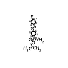 CC(C)COC(=O)N(N)c1ccc(OCc2ccc(F)cc2)cc1